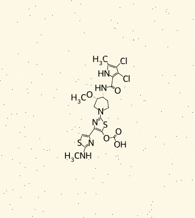 CNc1nc(-c2nc(N3CC[C@@H](NC(=O)c4[nH]c(C)c(Cl)c4Cl)[C@@H](OC)C3)sc2OC(=O)O)cs1